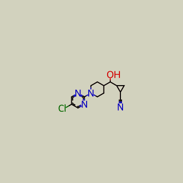 N#CC1CC1C(O)C1CCN(c2ncc(Cl)cn2)CC1